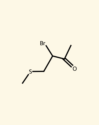 CSCC(Br)C(C)=O